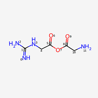 N=C(N)NCC(=O)OC(=O)CN